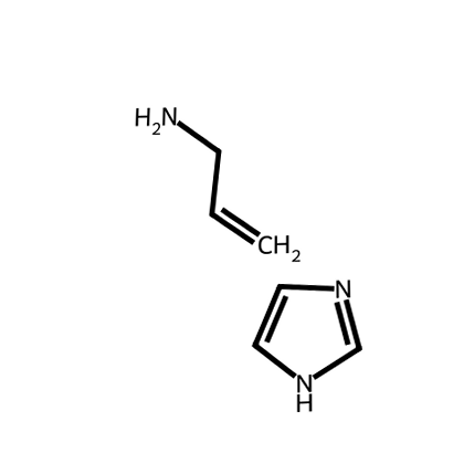 C=CCN.c1c[nH]cn1